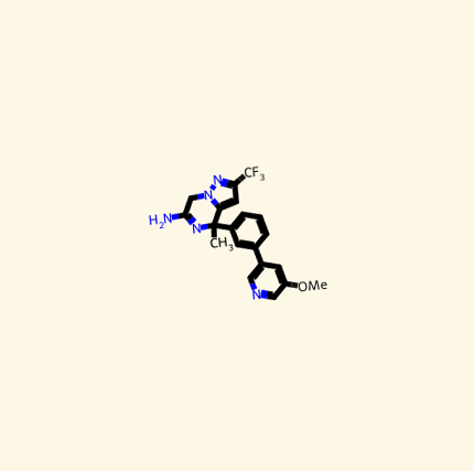 COc1cncc(-c2cccc(C3(C)N=C(N)Cn4nc(C(F)(F)F)cc43)c2)c1